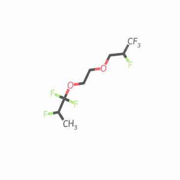 CC(F)C(F)(F)OCCOCC(F)C(F)(F)F